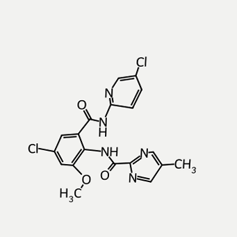 COc1cc(Cl)cc(C(=O)Nc2ccc(Cl)cn2)c1NC(=O)c1ncc(C)cn1